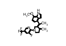 C=C1CCN(c2ncc(C(F)(F)F)cc2F)C/C1=C(/C)c1ccc(OC)c2[nH]ccc12